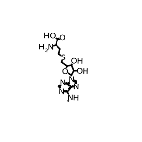 CNc1ncnc2c1ncn2C1OC(CSCCC(N)C(=O)O)C(O)C1O